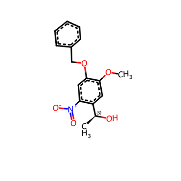 COc1cc([C@H](C)O)c([N+](=O)[O-])cc1OCc1ccccc1